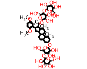 COc1ccc(OC)c(C2CC3C4CC=C5CC(OC6O[C@H](CO)[C@@H](O[C@@H]7O[C@H](CO)[C@H](O)[C@H](O)[C@H]7O)[C@H](O)[C@H]6O)CCC5(C)C4CCC3(C)C2C(C)OC2O[C@H](CO)[C@@H](O[C@@H]3O[C@H](CO)[C@H](O)[C@H](O)[C@H]3O)[C@H](O)[C@H]2O)c1